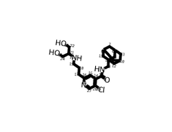 O=C(NCC12CC3CC(CC(C3)C1)C2)c1cc(CCCNC(CO)CO)ncc1Cl